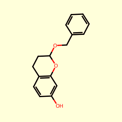 Oc1ccc2c(c1)OC(OCc1ccccc1)CC2